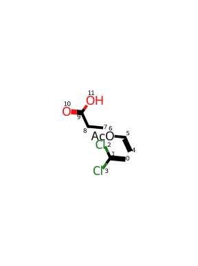 C=C(Cl)Cl.C=COC(C)=O.CCC(=O)O